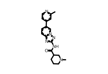 Cc1cc(-c2ccc3nc(NC(=O)C4CCCN(C)C4)nn3c2)ccn1